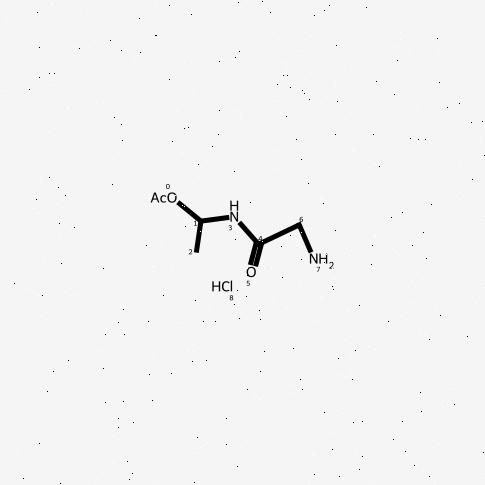 CC(=O)OC(C)NC(=O)CN.Cl